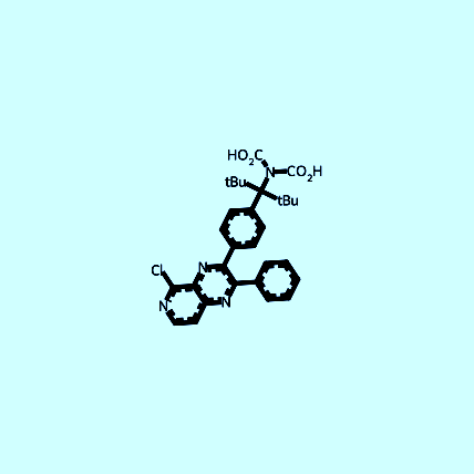 CC(C)(C)C(c1ccc(-c2nc3c(Cl)nccc3nc2-c2ccccc2)cc1)(N(C(=O)O)C(=O)O)C(C)(C)C